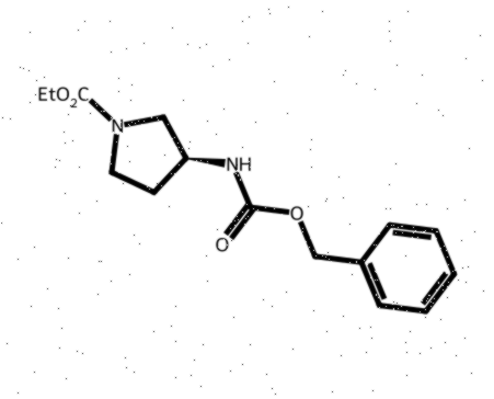 CCOC(=O)N1CC[C@H](NC(=O)OCc2ccccc2)C1